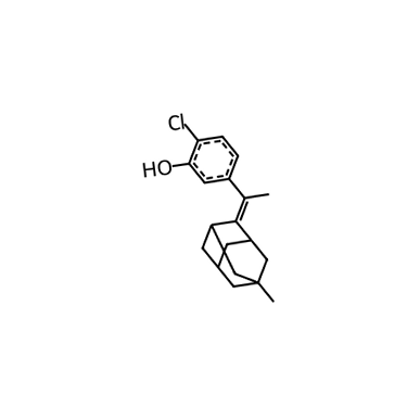 CC(=C1C2CC3CC1CC(C)(C3)C2)c1ccc(Cl)c(O)c1